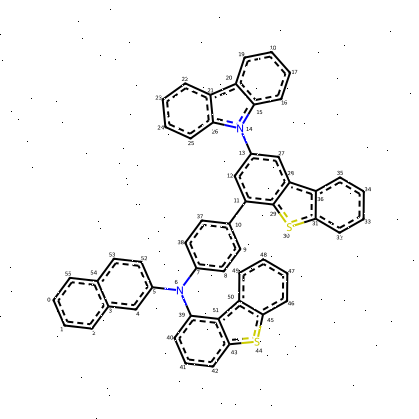 c1ccc2cc(N(c3ccc(-c4cc(-n5c6ccccc6c6ccccc65)cc5c4sc4ccccc45)cc3)c3cccc4sc5ccccc5c34)ccc2c1